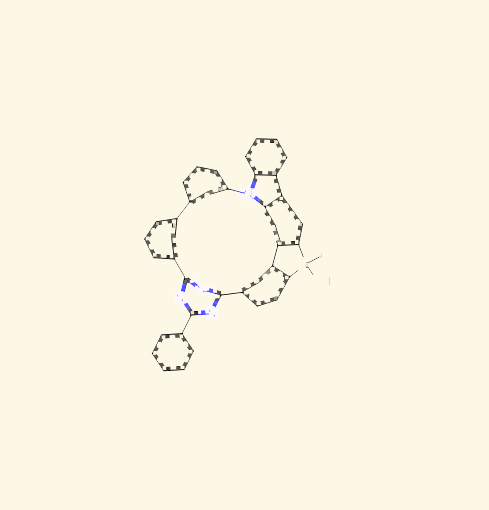 C[Si]1(C)c2ccc3cc2-c2cc4c(cc21)c1ccccc1n4-c1cccc(c1)-c1cccc(c1)-c1nc(-c2ccccc2)nc-3n1